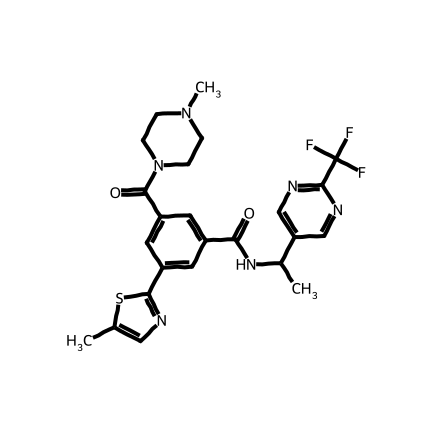 Cc1cnc(-c2cc(C(=O)NC(C)c3cnc(C(F)(F)F)nc3)cc(C(=O)N3CCN(C)CC3)c2)s1